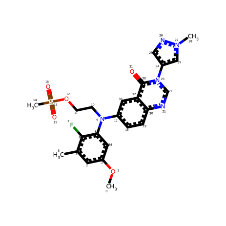 COc1cc(C)c(F)c(N(CCOS(C)(=O)=O)c2ccc3ncn(-c4cnn(C)c4)c(=O)c3c2)c1